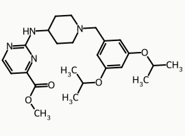 COC(=O)c1ccnc(NC2CCN(Cc3cc(OC(C)C)cc(OC(C)C)c3)CC2)n1